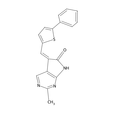 Cc1ncc2c(n1)NC(=O)C2=Cc1ccc(-c2ccccc2)s1